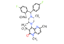 COc1cc(F)ccc1C(c1ccc(F)cc1)N1C[C@H](C)N(c2c([N+](=O)[O-])c(=O)n(C)c3ccc(C#N)nc23)C[C@H]1C